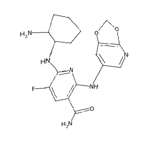 NC(=O)c1cc(F)c(NC2CCCCC2N)nc1Nc1cnc2c(c1)OCO2